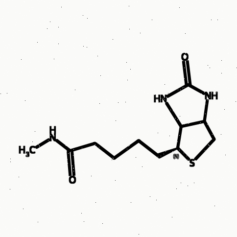 CNC(=O)CCCC[C@@H]1SCC2NC(=O)NC21